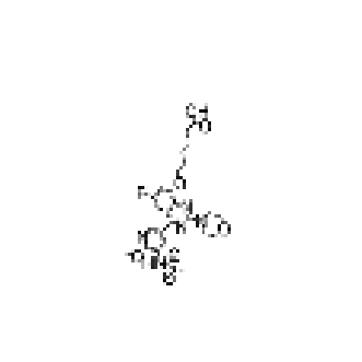 COc1ncc(-c2nc(N3CCOCC3)nc3c(OCCCCCC(=O)O)cc(F)cc23)cc1NS(C)(=O)=O